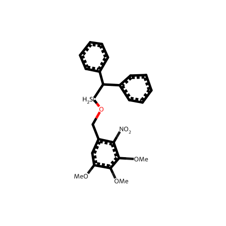 COc1cc(CO[SiH2]C(c2ccccc2)c2ccccc2)c([N+](=O)[O-])c(OC)c1OC